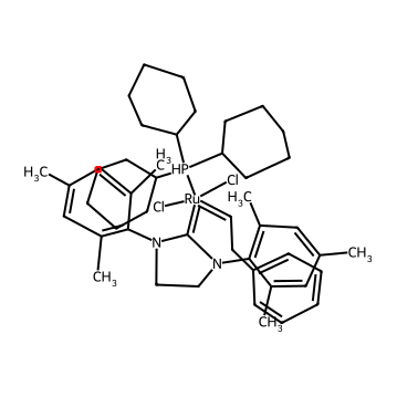 Cc1cc(C)c(N2CCN(c3c(C)cc(C)cc3C)[C]2=[Ru]([Cl])([Cl])(=[CH]Cc2ccccc2)[PH](C2CCCCC2)(C2CCCCC2)C2CCCCC2)c(C)c1